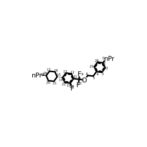 CCCc1ccc(CCOC(F)(F)c2ccc([C@H]3CC[C@H](CCC)CC3)cc2F)cc1